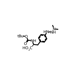 CN(C)NNc1ccc(C[C@H](NC(=O)OC(C)(C)C)C(=O)O)cc1